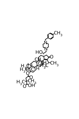 Cc1ccc(CN2CCN(CC(O)[C@@]34CC[C@]5(C)[C@H](CC[C@@H]6[C@@]7(C)CC[C@H](OC(=O)CC(C)(C)C(=O)O)C(C)(C)[C@@H]7CC[C@]65C)C3=C(C(C)C)C(=O)C4)CC2)cc1